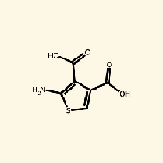 Nc1scc(C(=O)O)c1C(=O)O